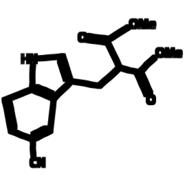 COC(=O)C(Cc1c[nH]c2ccc(C#N)cc12)C(=O)OC